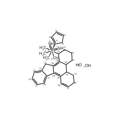 Cl.Cl.[CH3][Zr]([CH3])([CH3])([CH3])(=[SiH2])(=[SiH2])([C]1=CC=CC1)[CH]1CCCC2C1=C1Cc3ccccc3C1=C1C=CCCC12